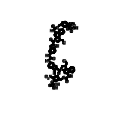 O=C(Nc1ccc2[nH]c(C(=O)N3CC(CCl)c4c3cc(NC(=O)OCc3ccc([N+](=O)[O-])c(OP(=O)(O)O)c3)c3ccccc43)cc2c1)Nc1ccc2[nH]c(C(=O)N3CC(CCl)c4c3cc(NC(=O)OCc3ccc([N+](=O)[O-])c(OP(=O)(O)O)c3)c3ccccc43)cc2c1